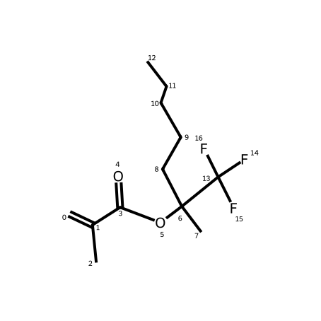 C=C(C)C(=O)OC(C)(CCCCC)C(F)(F)F